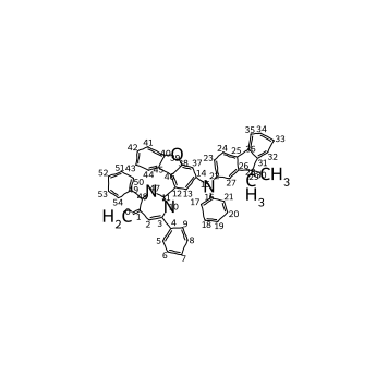 C=C1C=C(c2ccccc2)N=C(c2cc(N(c3ccccc3)c3ccc4c(c3)C(C)(C)c3ccccc3-4)cc3oc4ccccc4c23)N=C1c1ccccc1